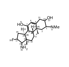 CNC1C[C@@]2(C)C(=CC(O)=C3[C@H]2CC[C@]2(C)C(N)C(F)C[C@@H]32)CC1O